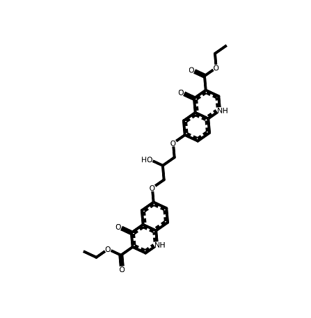 CCOC(=O)c1c[nH]c2ccc(OCC(O)COc3ccc4[nH]cc(C(=O)OCC)c(=O)c4c3)cc2c1=O